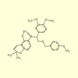 COc1ccc(COCC(C(=O)c2ccc3c(c2OC)C=CC(C)(C)O3)c2ccc(OC)c(OC)c2)cc1